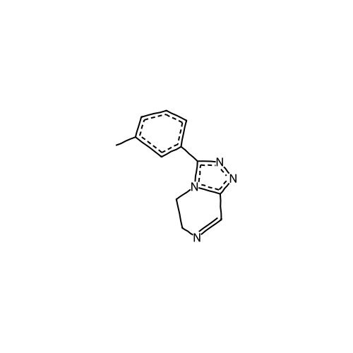 Cc1cccc(-c2nnc3n2CCN=C3)c1